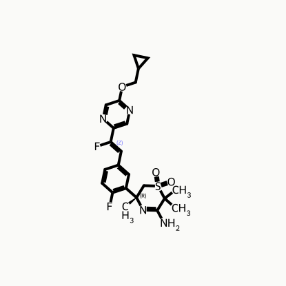 CC1(C)C(N)=N[C@](C)(c2cc(/C=C(\F)c3cnc(OCC4CC4)cn3)ccc2F)CS1(=O)=O